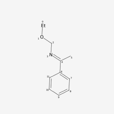 CCOCN=C(C)c1ccccc1